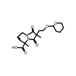 CC1(CCOC2CCCCO2)C(=O)N2CC=CC(C)(C(=O)O)N2C1=O